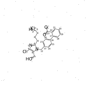 CCCCc1nc(Cl)c(CO)n1Cc1ccc(-c2ccccc2C(=O)[O-])cc1.[K+]